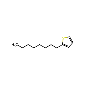 CCCCCC[CH]Cc1cccs1